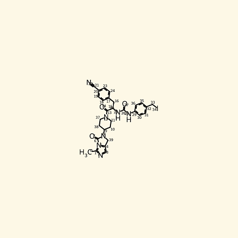 Cc1ncc2n1C(=O)N(C1CCN(C(=O)[C@@H](Cc3ccc(C#N)cc3)NC(=O)Nc3ccc(CI)cc3)CC1)C2